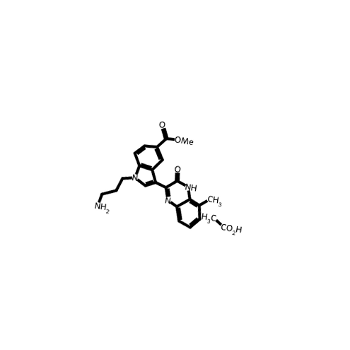 CC(=O)O.COC(=O)c1ccc2c(c1)c(-c1nc3cccc(C)c3[nH]c1=O)cn2CCCN